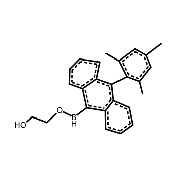 Cc1cc(C)c(-c2c3ccccc3c(BOCCO)c3ccccc23)c(C)c1